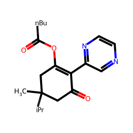 CCCCC(=O)OC1=C(c2cnccn2)C(=O)CC(C)(C(C)C)C1